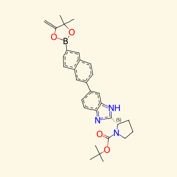 C=C1OB(c2ccc3cc(-c4ccc5nc([C@@H]6CCCN6C(=O)OC(C)(C)C)[nH]c5c4)ccc3c2)OC1(C)C